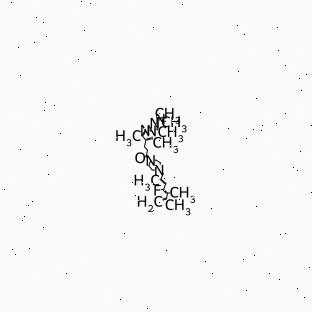 C=C(C)/C(C)=C(F)/C=C(\C)CN1CCN(C(=O)CCc2c(C)nn(/C(C)=N/N(C)C)c2C)CC1